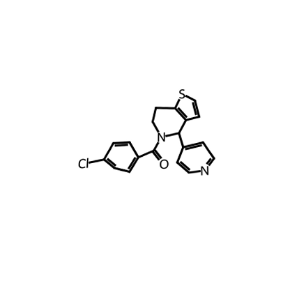 O=C(c1ccc(Cl)cc1)N1CCc2sccc2C1c1ccncc1